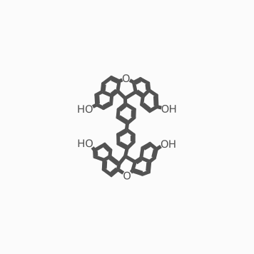 Oc1ccc2c3c(ccc2c1)Oc1ccc2cc(O)ccc2c1C3c1ccc(-c2ccc(C3c4c(ccc5cc(O)ccc45)Oc4ccc5cc(O)ccc5c43)cc2)cc1